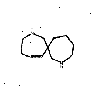 C1=CC2(CCCCNC2)CNCC1